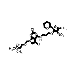 Cc1nn(C2CCCCO2)c(OCCCNc2nc(Cl)nc3c2c(Cl)cn3COCC[Si](C)(C)C)c1[N+](=O)[O-]